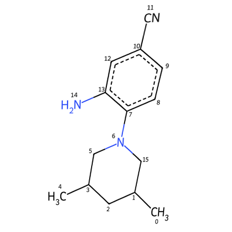 CC1CC(C)CN(c2ccc(C#N)cc2N)C1